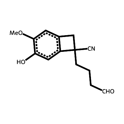 COc1cc2c(cc1O)C(C#N)(CCCC=O)C2